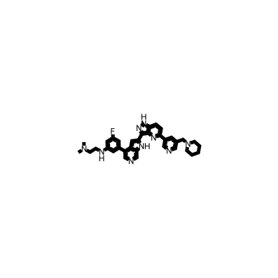 CN(C)CCNc1cc(F)cc(-c2cncc3[nH]c(-c4n[nH]c5ccc(-c6cncc(CN7CCCCC7)c6)nc45)cc23)c1